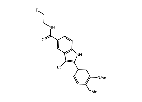 CCc1c(-c2ccc(OC)c(OC)c2)[nH]c2ccc(C(=O)NCCF)cc12